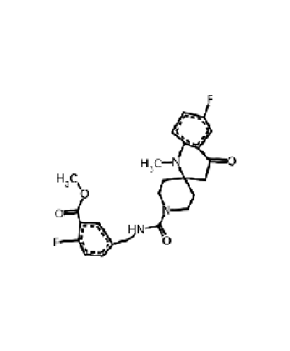 COC(=O)c1cc(CNC(=O)N2CCC3(CC2)CC(=O)c2cc(F)ccc2N3C)ccc1F